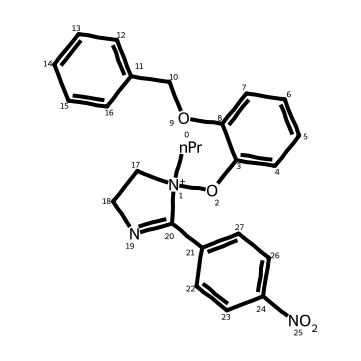 CCC[N+]1(Oc2ccccc2OCc2ccccc2)CCN=C1c1ccc([N+](=O)[O-])cc1